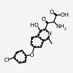 Cc1nc(C(=O)C(N)C(=O)O)c(O)c2ccc(Oc3ccc(Cl)cc3)cc12